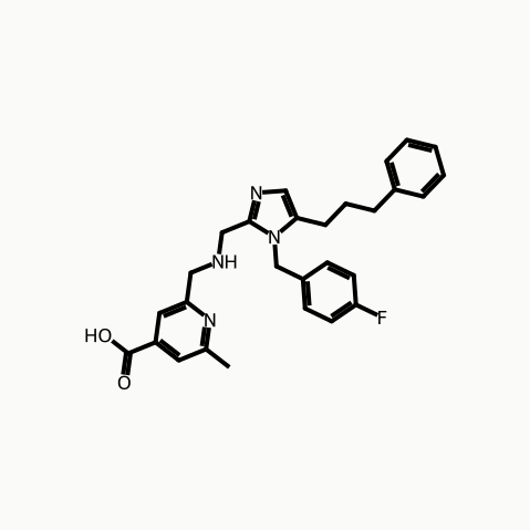 Cc1cc(C(=O)O)cc(CNCc2ncc(CCCc3ccccc3)n2Cc2ccc(F)cc2)n1